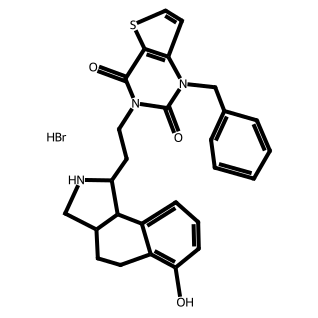 Br.O=c1c2sccc2n(Cc2ccccc2)c(=O)n1CCC1NCC2CCc3c(O)cccc3C21